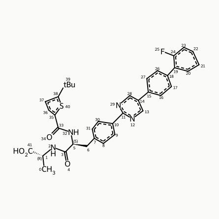 C[C@@H](NC(=O)[C@H](Cc1ccc(-c2ncc(-c3ccc(-c4ccccc4F)cc3)cn2)cc1)NC(=O)c1ccc(C(C)(C)C)s1)C(=O)O